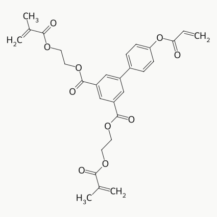 C=CC(=O)Oc1ccc(-c2cc(C(=O)OCCOC(=O)C(=C)C)cc(C(=O)OCCOC(=O)C(=C)C)c2)cc1